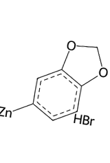 Br.[Zn][c]1ccc2c(c1)OCO2